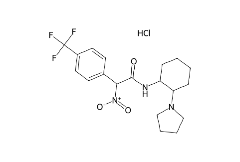 Cl.O=C(NC1CCCCC1N1CCCC1)C(c1ccc(C(F)(F)F)cc1)[N+](=O)[O-]